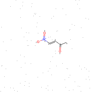 CC(=O)C=C[N+](=O)[O-]